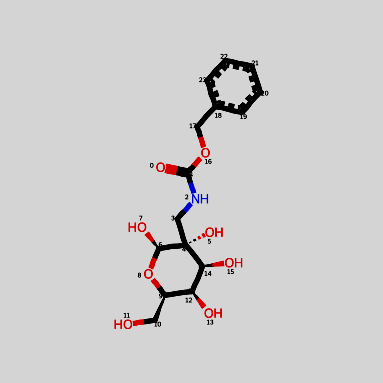 O=C(NC[C@]1(O)[C@H](O)O[C@H](CO)[C@H](O)[C@@H]1O)OCc1ccccc1